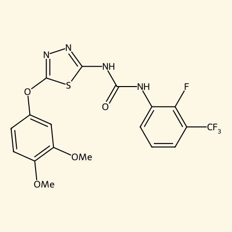 COc1ccc(Oc2nnc(NC(=O)Nc3cccc(C(F)(F)F)c3F)s2)cc1OC